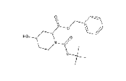 CC(C)(C)OC(=O)N1CCC(O)CC1C(=O)OCc1ccccc1